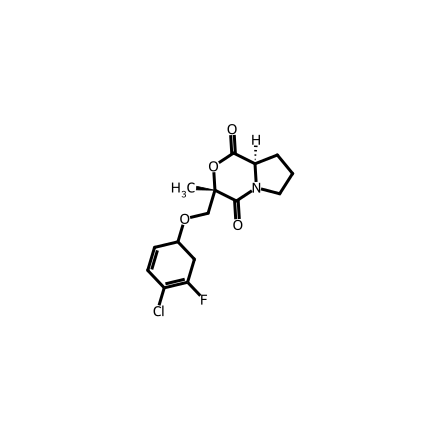 C[C@@]1(COC2C=CC(Cl)=C(F)C2)OC(=O)[C@H]2CCCN2C1=O